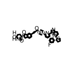 O=C1NC(O)CCC1N1Cc2ccc(C#CC(=O)N3CCN(c4cccc(-c5cnc6ccc(N7CCC[C@@H]7c7cccc(F)c7)nn56)n4)CC3)cc2C1=O